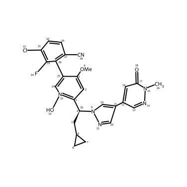 COc1cc([C@H](CC2CC2)n2cc(-c3cnn(C)c(=O)c3)cn2)[n+](O)cc1-c1c(C#N)ccc(Cl)c1F